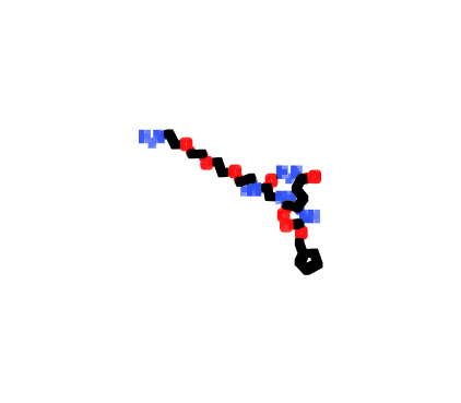 NCCOCCOCCOCCNC(=O)CNC(=O)C(CCC(N)=O)NC(=O)OCC1=CC=CC1